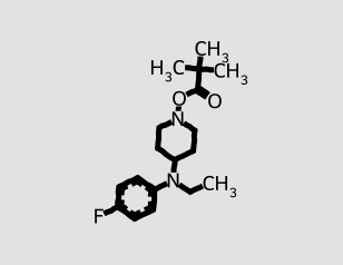 CCN(c1ccc(F)cc1)C1CCN(OC(=O)C(C)(C)C)CC1